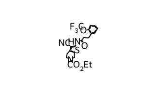 CCOC(=O)N1CCc2c(sc(NC(=O)CCc3ccccc3OC(F)(F)F)c2C#N)C1